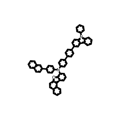 c1ccc(-n2c3ccccc3c3cc(-c4ccc(-c5ccc(N(c6ccc(-c7ccc8ccccc8c7)cc6)c6cccc7c6oc6ccc8ccccc8c67)cc5)cc4)ccc32)cc1